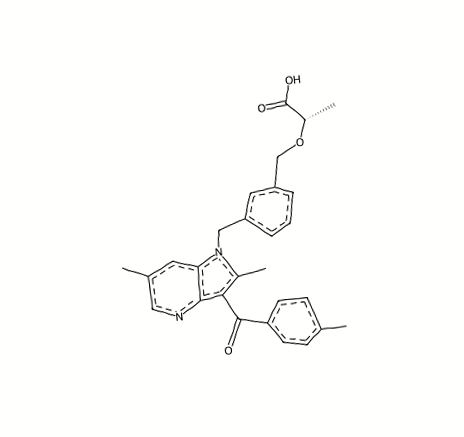 Cc1ccc(C(=O)c2c(C)n(Cc3cccc(CO[C@@H](C)C(=O)O)c3)c3cc(C)cnc23)cc1